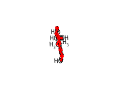 Cc1cc(/N=N/c2c(SOOO)cc3cc(NC(=O)c4ccccc4)ccc3c2O)c(C)cc1/N=N/c1ccc(/N=N/c2ccc(SOOO)cc2)cc1